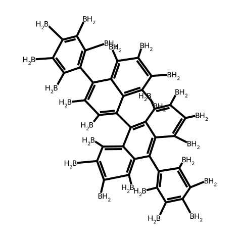 Bc1c(B)c(B)c(-c2c(B)c(B)c(-c3c4c(B)c(B)c(B)c(B)c4c(-c4c(B)c(B)c(B)c(B)c4B)c4c(B)c(B)c(B)c(B)c34)c3c(B)c(B)c(B)c(B)c23)c(B)c1B